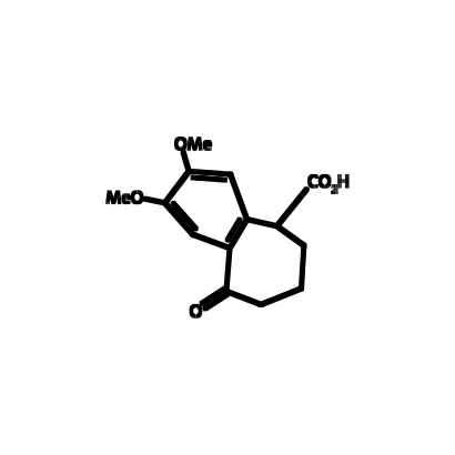 COc1cc2c(cc1OC)C(C(=O)O)CCCC2=O